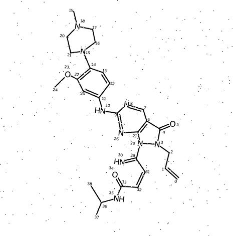 C=CCn1c(=O)c2cnc(Nc3ccc(N4CCN(C)CC4)c(OC)c3)nc2n1C(=N)/C=C\C(=O)NC(C)C